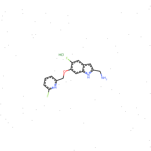 Cl.NCc1cc2cc(F)c(OCc3cccc(F)n3)cc2[nH]1